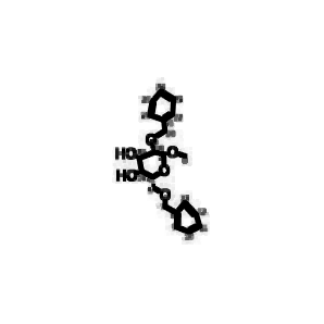 CO[C@@H]1O[C@H](COCc2ccccc2)[C@H](O)[C@H](O)[C@H]1OCc1ccccc1